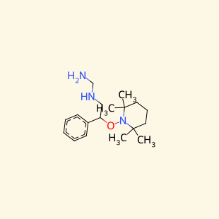 CC1(C)CCCC(C)(C)N1OC(CNCN)c1ccccc1